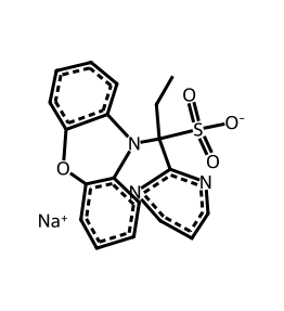 CCC(c1ncccn1)(N1c2ccccc2Oc2ccccc21)S(=O)(=O)[O-].[Na+]